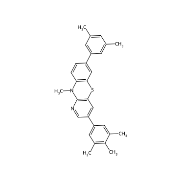 Cc1cc(C)cc(-c2ccc3c(c2)Sc2cc(-c4cc(C)c(C)c(C)c4)cnc2N3C)c1